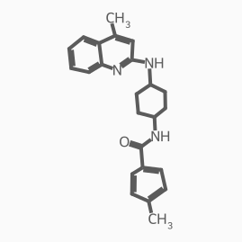 Cc1ccc(C(=O)NC2CCC(Nc3cc(C)c4ccccc4n3)CC2)cc1